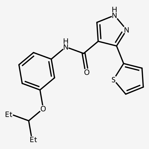 CCC(CC)Oc1cccc(NC(=O)c2c[nH]nc2-c2cccs2)c1